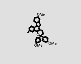 COc1ccc(C2(c3ccc(OC)cc3)C=Cc3c4c(c5ccc(C)cc5c3O2)-c2ccc(OC)cc2C4)cc1